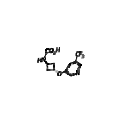 O=C(O)N[C@H]1C[C@H](Oc2cncc(C(F)(F)F)c2)C1